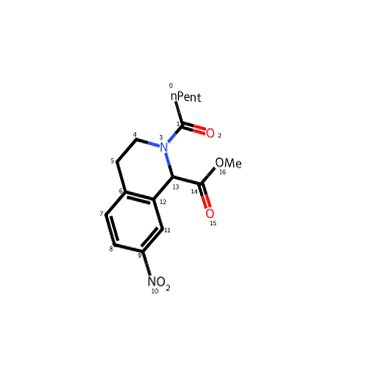 CCCCCC(=O)N1CCc2ccc([N+](=O)[O-])cc2C1C(=O)OC